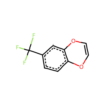 FC(F)(F)c1[c]c2c(cc1)OC=CO2